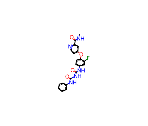 CNC(=O)c1cc(Oc2ccc(NC(=O)NC(=O)Nc3ccccc3)cc2F)ccn1